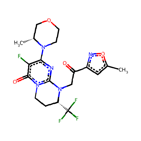 Cc1cc(C(=O)CN2c3nc(N4CCOC[C@H]4C)c(F)c(=O)n3CC[C@H]2C(F)(F)F)no1